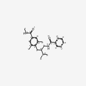 CNC(=O)c1cc(C)c(CC(CNC(=O)c2cnccn2)N(C)C)c(C)c1